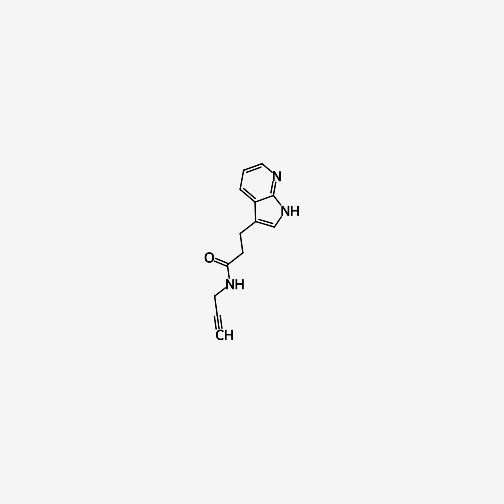 C#CCNC(=O)CCc1c[nH]c2ncccc12